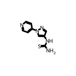 NC(=S)Nc1cnn(-c2ccncc2)c1